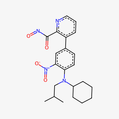 CC(C)CN(c1ccc(-c2cccnc2C(=O)N=O)cc1[N+](=O)[O-])C1CCCCC1